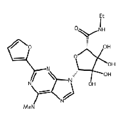 CCNC(=O)[C@H]1O[C@@H](n2cnc3c(NC)nc(-c4ccco4)nc32)C(O)(O)C1(O)O